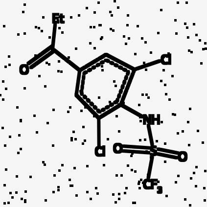 CCC(=O)c1cc(Cl)c(NS(=O)(=O)C(F)(F)F)c(Cl)c1